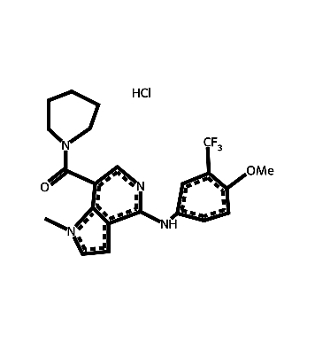 COc1ccc(Nc2ncc(C(=O)N3CCCCC3)c3c2ccn3C)cc1C(F)(F)F.Cl